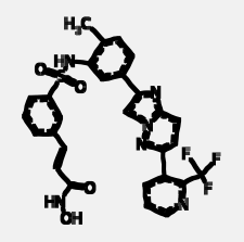 Cc1ccc(-c2cn3nc(-c4cccnc4C(F)(F)F)ccc3n2)cc1NS(=O)(=O)c1cccc(C=CC(=O)NO)c1